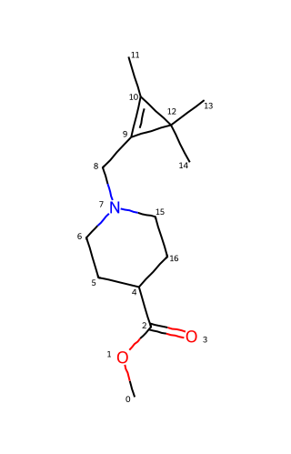 COC(=O)C1CCN(CC2=C(C)C2(C)C)CC1